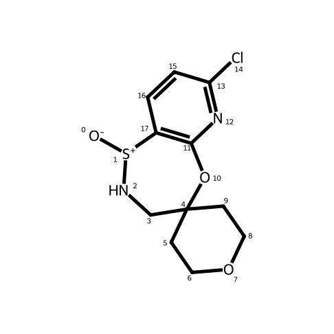 [O-][S+]1NCC2(CCOCC2)Oc2nc(Cl)ccc21